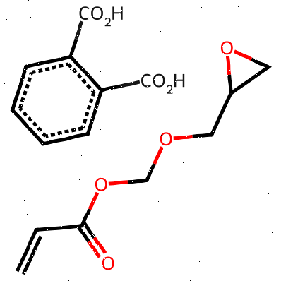 C=CC(=O)OCOCC1CO1.O=C(O)c1ccccc1C(=O)O